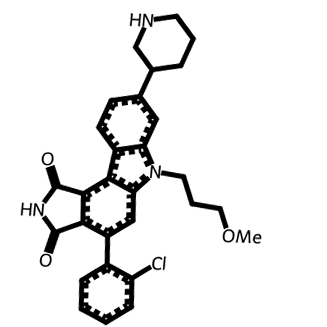 COCCCn1c2cc(C3CCCNC3)ccc2c2c3c(c(-c4ccccc4Cl)cc21)C(=O)NC3=O